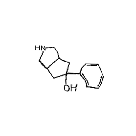 OC1(c2ccccc2)CC2CNCC2C1